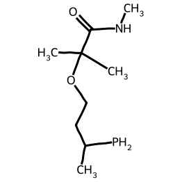 CNC(=O)C(C)(C)OCCC(C)P